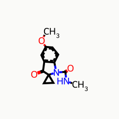 CNC(=O)N1c2ccc(OC)cc2C(=O)C12CC2